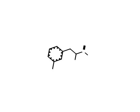 Cc1cccc(CC(O)[N+](=O)[O-])c1